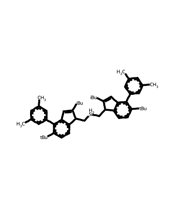 CCC(C)C1=Cc2c(ccc(C(C)(C)C)c2-c2cc(C)cc(C)c2)C1C[SiH2]CC1C(C(C)CC)=Cc2c1ccc(C(C)(C)C)c2-c1cc(C)cc(C)c1